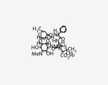 CC1(C)S[C@@H]2[C@H](NC(=O)[C@H](N)c3ccccc3)C(=O)N2[C@H]1C(=O)O.CN[C@@H]1[C@H](O)[C@H](NC)[C@H]2O[C@@]3(O)C(=O)C[C@@H](C)O[C@H]3O[C@@H]2[C@H]1O